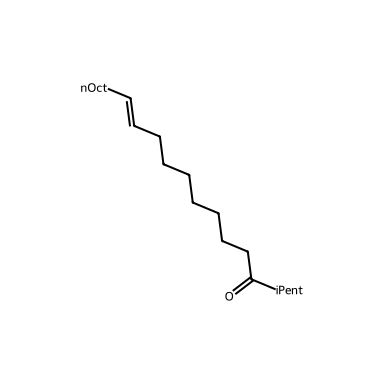 CCCCCCCC/C=C/CCCCCCCC(=O)C(C)CCC